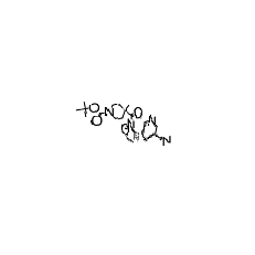 CC(C)(C)OC(=O)N1CCC(C)(C(=O)N2OCC[C@H]2c2cncc(C#N)c2)CC1